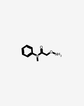 CN(C(=O)CON)c1ccccc1